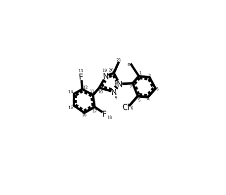 Cc1cccc(Cl)c1-n1nc(-c2c(F)cccc2F)nc1C